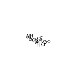 O=C(NS(=O)(=O)c1ccc(OCC2CCCN2)cc1)c1cc(Cl)c(OCC2CCCC2)cc1F